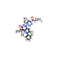 C=CC(=O)N1CCN(C2=NC(=O)C(C)(CC(C)C)c3nc(-c4ccccc4F)c(Cl)cc32)C(C)C1